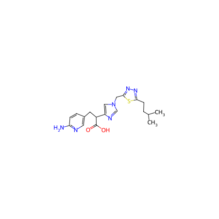 CC(C)CCc1nnc(Cn2cnc(C(Cc3ccc(N)nc3)C(=O)O)c2)s1